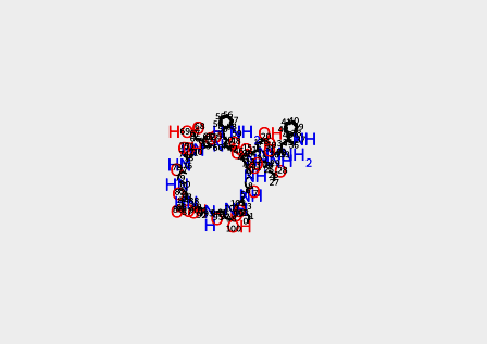 CCCCC1NC(=O)CNC(=O)C(NC(=O)C(CC(=O)O)NC(=O)[C@@H](CC(C)=O)NC(=O)[C@H](N)Cc2c[nH]c3ccccc23)C(C)OC(=O)C(CC(=O)c2ccccc2N)NC(=O)C(C(C)CC(=O)O)NC(=O)C(CO)NC(=O)CNC(=O)C(CC(=O)O)NC(=O)C(C)NC(=O)C(CC(=O)O)NC1=O